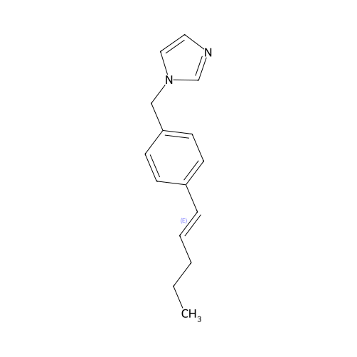 CCC/C=C/c1ccc(Cn2ccnc2)cc1